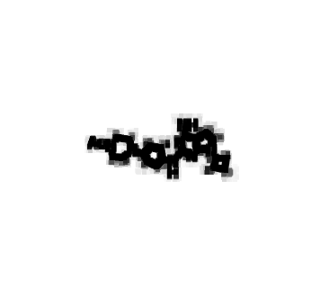 CC(=O)N1CCN(c2ccc(Nc3nc(N)c4ccn(C5CCC5)c4n3)cc2)CC1